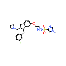 Cn1cnc(S(=O)(=O)NCCOc2ccc3c(c2)C(Cc2cccc(F)c2)C(CN2CCC2)C3)c1